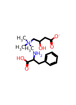 C[N+](C)(C)CC(O)CC(=O)[O-].NC(Cc1ccccc1)C(=O)O